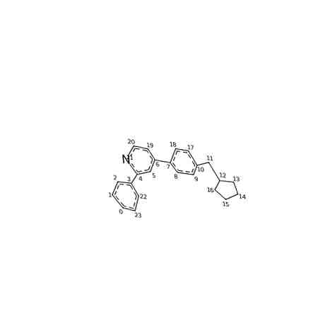 c1ccc(-c2cc(-c3ccc(CC4CCCC4)cc3)ccn2)cc1